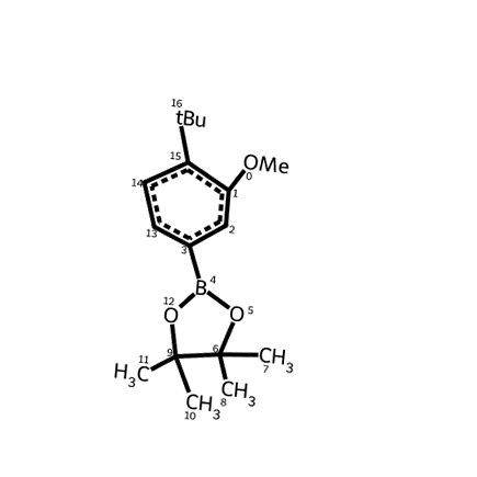 COc1cc(B2OC(C)(C)C(C)(C)O2)ccc1C(C)(C)C